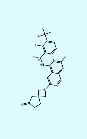 Cc1nc(N[C@H](C)c2cccc(C(C)(F)F)c2F)c2cc(N3CC4(CNC(=O)C4)C3)ncc2n1